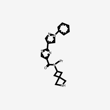 CC(C)N(C(=O)c1csc(-c2cnn(-c3ccccc3)c2)n1)C1CC2(CNC2)C1